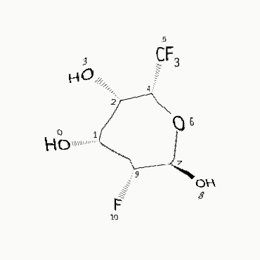 O[C@@H]1[C@H](O)[C@H](C(F)(F)F)O[C@@H](O)[C@@H]1F